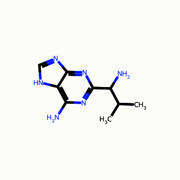 CC(C)C(N)c1nc(N)c2[nH]cnc2n1